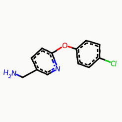 NCc1ccc(Oc2ccc(Cl)cc2)nc1